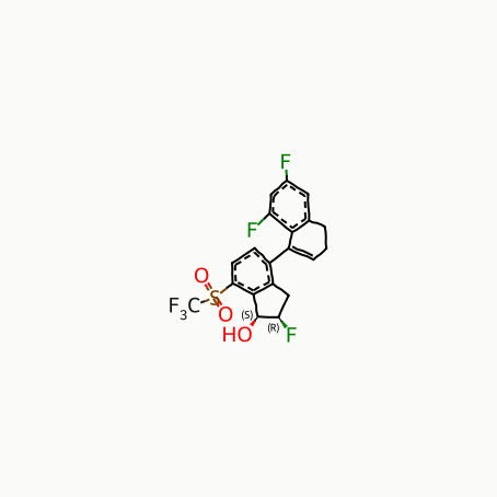 O=S(=O)(c1ccc(C2=CCCc3cc(F)cc(F)c32)c2c1[C@H](O)[C@H](F)C2)C(F)(F)F